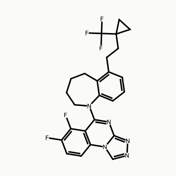 Fc1ccc2c(c(N3CCCCc4c(CCC5(C(F)(F)F)CC5)cccc43)nc3nncn32)c1F